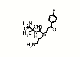 CC(C)(NC(=O)[C@@H](CCCN)CCC(=O)c1ccc(F)cc1)C(N)=O